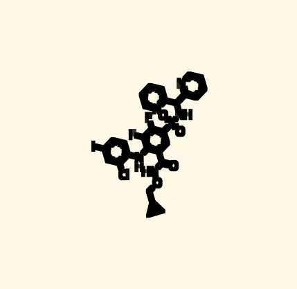 O=C(NOCC1CC1)c1cc(S(=O)(=O)NC(c2ccccn2)c2ccccn2)c(F)c(F)c1Nc1ccc(I)cc1Cl